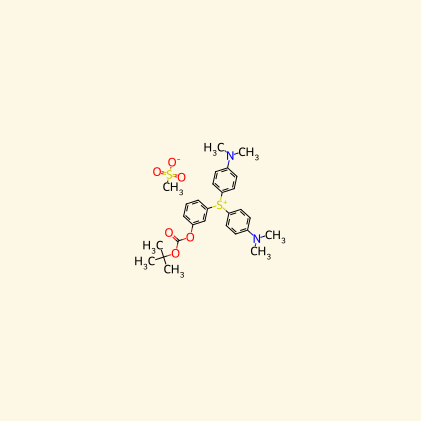 CN(C)c1ccc([S+](c2ccc(N(C)C)cc2)c2cccc(OC(=O)OC(C)(C)C)c2)cc1.CS(=O)(=O)[O-]